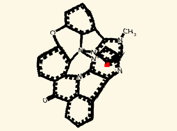 Cn1c2[n+](c3ccccc31)[N+]13c4c(cccc4-2)Oc2ccc4c(=O)c5cccc6c7ncc[n+]1c7n(c4c23)c56